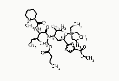 CCCC(=O)OCN(C(=O)C(NC(=O)C1CCCCN1C)C(C)CC)[C@H](C[C@@H](O[Si](CC)(CC)CC)c1nc(C(=O)OC)cs1)C(C)C